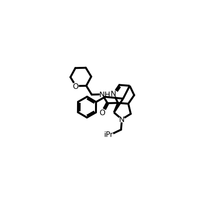 CC(C)CN1CC2CC3C=NC2(C(=O)NCC2CCCCO2)C1C3Cc1ccccc1